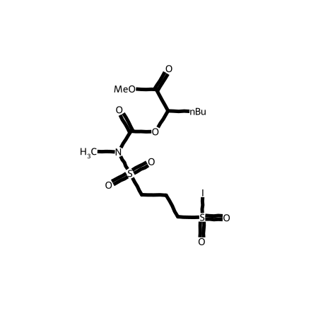 CCCCC(OC(=O)N(C)S(=O)(=O)CCCS(=O)(=O)I)C(=O)OC